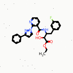 CCOC(=O)C(O)C(Cc1cccc(F)c1)NC(=O)c1cccnc1-n1ccc(-c2ccccc2)n1